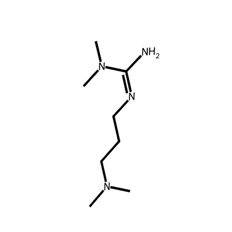 CN(C)CCCN=C(N)N(C)C